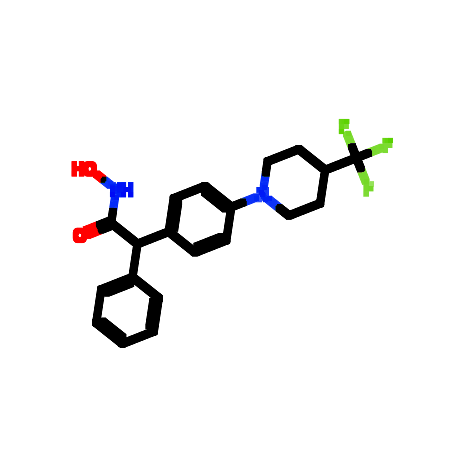 O=C(NO)C(c1ccccc1)c1ccc(N2CCC(C(F)(F)F)CC2)cc1